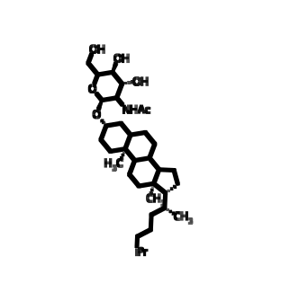 CC(=O)NC1[C@@H](O[C@H]2CC[C@@]3(C)C(CCC4C3CC[C@@]3(C)C4CC[C@@H]3[C@H](C)CCCC(C)C)C2)OC(CO)[C@@H](O)[C@@H]1O